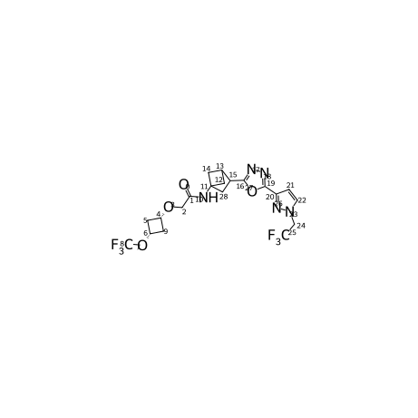 O=C(CO[C@H]1C[C@@H](OC(F)(F)F)C1)NC12CC(C1)C(c1nnc(-c3ccn(CC(F)(F)F)n3)o1)C2